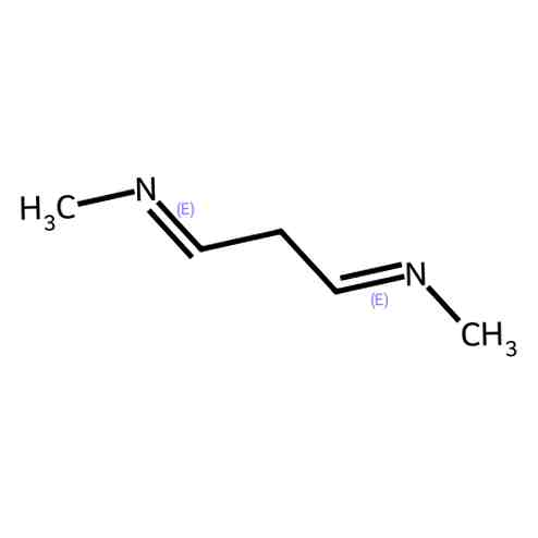 C/N=C/C/C=N/C